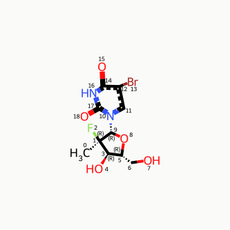 C[C@@]1(F)[C@H](O)[C@@H](CO)O[C@H]1n1cc(Br)c(=O)[nH]c1=O